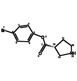 O=C(Oc1ccc(Br)cc1)[C@@H]1CCNC1